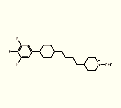 CCC[SiH]1CCC(CCCCC2CCC(c3cc(F)c(F)c(F)c3)CC2)CC1